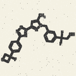 Cc1cc(-c2nc(-c3ccc(C4(F)COC4)cc3)no2)nn1Cc1cccc(C(F)(F)CO)c1